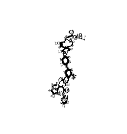 CC(C)(C)OC(=O)CN1CCC2(CC1)CN(c1ccc(-c3cc(F)c4c(c3)C(=O)N(C(C(=O)Nc3nccs3)c3ncn5c3CCC5)C4)cc1)C2